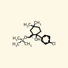 CC1(C)CCC(O)(c2ccc(Cl)cc2)/C(=C/O[Si](C)(C)C)C1